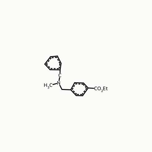 CCOC(=O)c1ccc(CN(C)Cc2ccccc2)cc1